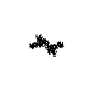 Cc1cc(-n2nc3c(c2-n2ccn(-c4ccc5c(cnn5C)c4)c2=O)[C@H](C)N(C(=O)c2cc4cc([C@H]5CCOC(C)(C)C5)ccc4n2[C@@]2(c4noc(=O)[nH]4)C[C@@H]2C)CC3)ccc1F